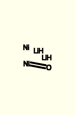 [LiH].[LiH].[Ni].[O]=[Ni]